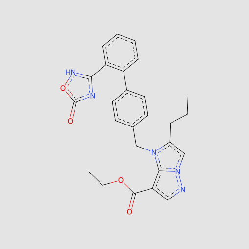 CCCc1cn2ncc(C(=O)OCC)c2n1Cc1ccc(-c2ccccc2-c2nc(=O)o[nH]2)cc1